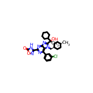 CC(O)(c1nc2nc(-c3noc(=O)[nH]3)nc(-c3cccc(Cl)c3)c2n1C[C@H]1CC[C@H](C)CC1)C1CCCCC1